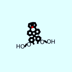 Cc1cc(C2(c3ccc(OCCO)c(C)c3)c3cccc(-c4ccccc4)c3-c3c(-c4ccccc4)cccc32)ccc1OCCO